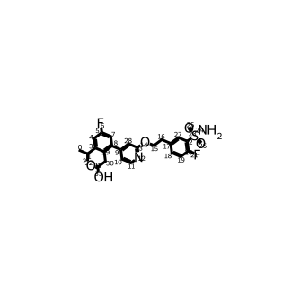 CC(C)c1cc(F)cc(-c2ccnc(OCCc3ccc(F)c(S(N)(=O)=O)c3)c2)c1CC(=O)O